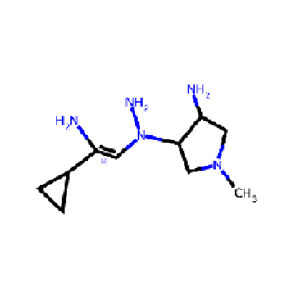 CN1CC(N)C(N(N)/C=C(\N)C2CC2)C1